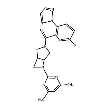 Cc1cc(C)nc(N2CC3CN(C(=O)c4cc(F)ccc4-n4nccn4)CC32)n1